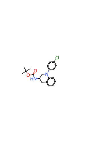 CC(C)(C)OC(=O)NC1Cc2ccccc2N(c2ccc(Cl)cc2)C1